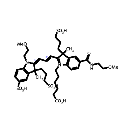 COCCNC(=O)c1ccc2c(c1)C(C)(CCCS(=O)(=O)O)C(/C=C/C=C1/N(CCOC)c3ccc(S(=O)(=O)O)cc3C1(C)CCCS(=O)(=O)O)=[N+]2CCCCCC(=O)O